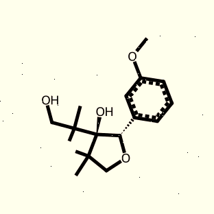 COc1cccc([C@@H]2OCC(C)(C)[C@]2(O)C(C)(C)CO)c1